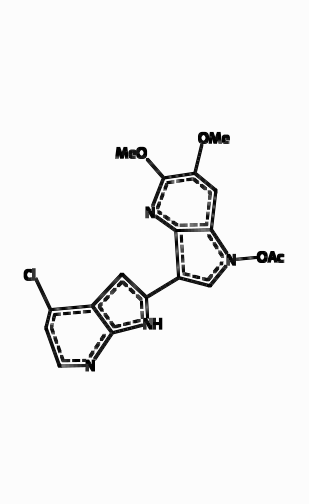 COc1cc2c(nc1OC)c(-c1cc3c(Cl)ccnc3[nH]1)cn2OC(C)=O